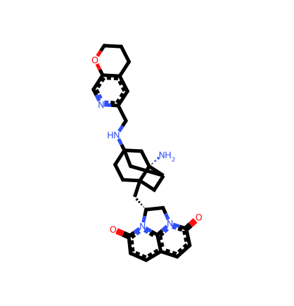 N[C@@]12CC3(NCc4cc5c(cn4)OCCC5)CCC1(C[C@@H]1Cn4c(=O)ccc5ccc(=O)n1c54)CC2C3